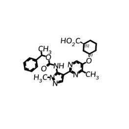 Cc1nc(-c2cnn(C)c2NC(=O)OC(C)c2ccccc2)ncc1O[C@H]1CCC[C@H](C(=O)O)C1